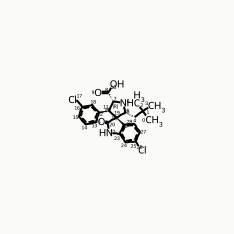 CC(C)(C)C[C@H]1N[C@@H](C(=O)O)[C@H](c2cccc(Cl)c2)[C@@]12C(=O)Nc1cc(Cl)ccc12